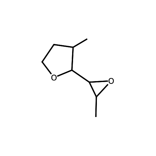 CC1CCOC1C1OC1C